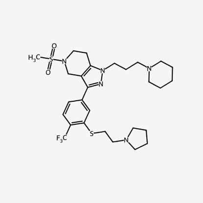 CS(=O)(=O)N1CCc2c(c(-c3ccc(C(F)(F)F)c(SCCN4CCCC4)c3)nn2CCCN2CCCCC2)C1